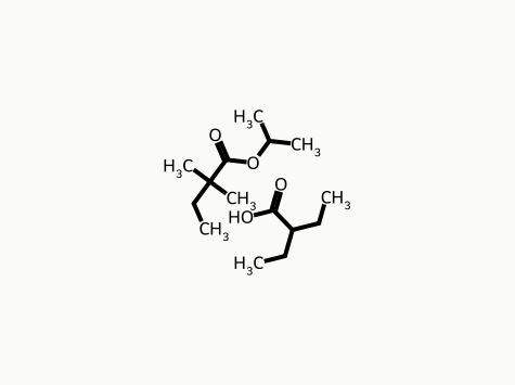 CCC(C)(C)C(=O)OC(C)C.CCC(CC)C(=O)O